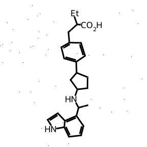 CCC(Cc1ccc(C2CCC(NC(C)c3cccc4[nH]ccc34)C2)cc1)C(=O)O